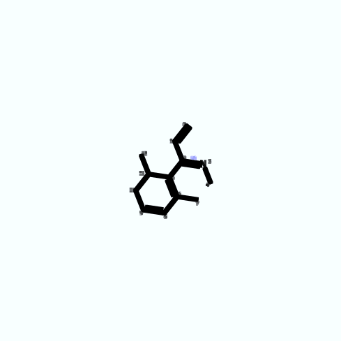 C=C/C(=N/C)C1=C(C)C=CCC1C